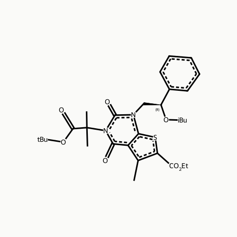 CCOC(=O)c1sc2c(c1C)c(=O)n(C(C)(C)C(=O)OC(C)(C)C)c(=O)n2C[C@H](OC(C)CC)c1ccccc1